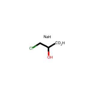 O=C(O)C(O)CCl.[NaH]